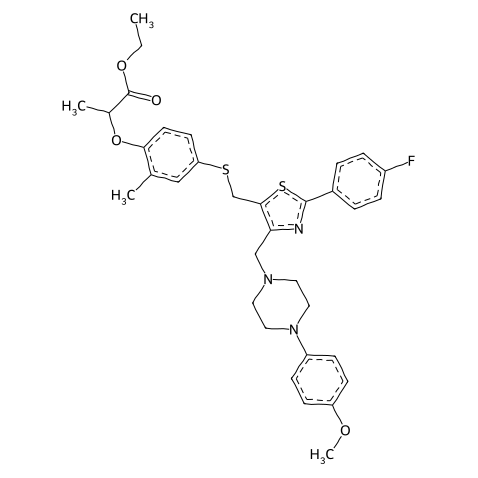 CCOC(=O)C(C)Oc1ccc(SCc2sc(-c3ccc(F)cc3)nc2CN2CCN(c3ccc(OC)cc3)CC2)cc1C